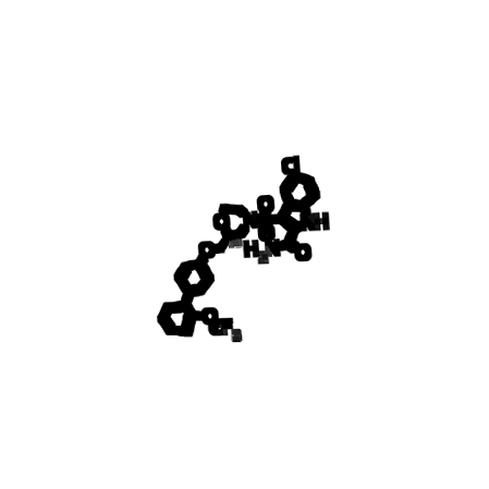 NC(=O)c1[nH]c2ccc(Cl)cc2c1S(=O)(=O)N1CCO[C@H](COc2ccc(-c3ccccc3OC(F)(F)F)cc2)C1